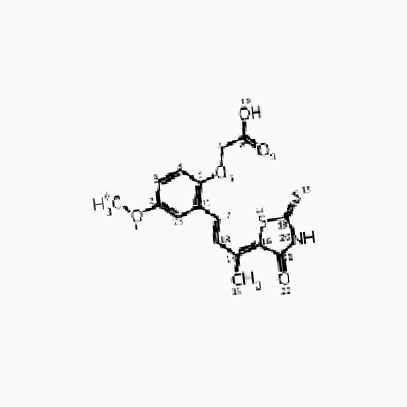 COc1ccc(OCC(=O)O)c(C=CC(C)=C2SC(=S)NC2=O)c1